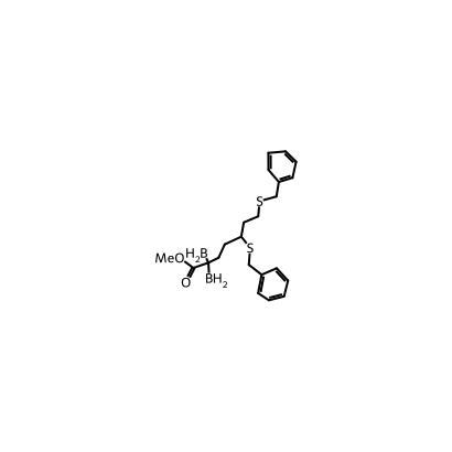 BC(B)(CCC(CCSCc1ccccc1)SCc1ccccc1)C(=O)OC